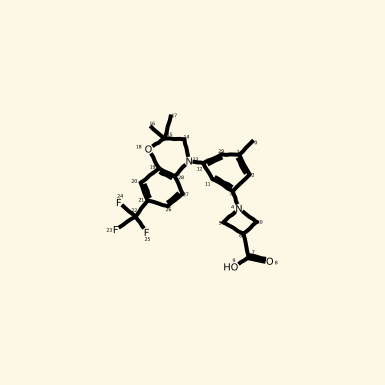 Cc1cc(N2CC(C(=O)O)C2)cc(N2CC(C)(C)Oc3cc(C(F)(F)F)ccc32)c1